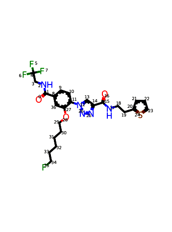 O=C(NCC(F)(F)F)c1ccc(-n2cc(C(=O)NCCc3cccs3)nn2)c(OCCCCCCF)c1